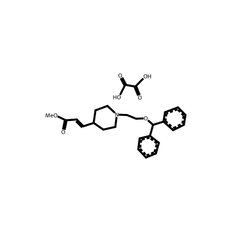 COC(=O)C=CC1CCN(CCOC(c2ccccc2)c2ccccc2)CC1.O=C(O)C(=O)O